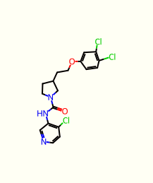 O=C(Nc1cnccc1Cl)N1CCC(CCOc2ccc(Cl)c(Cl)c2)C1